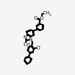 CCOC(=O)c1cccc(-c2ccc3nc(C)n(Cc4ccc(-c5ccccc5)cc4Cl)c3c2)c1